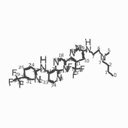 CCCCN(C)CCNc1cc(C(F)(F)F)c(-c2cnc3c(Nc4ccc(C(F)(F)F)cn4)ccnc3n2)nn1